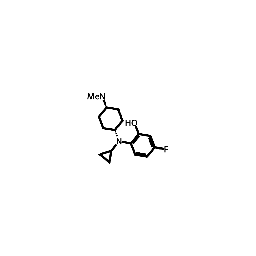 CN[C@H]1CC[C@H](N(c2ccc(F)cc2O)C2CC2)CC1